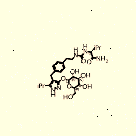 CC(C)c1[nH]nc(O[C@@H]2O[C@H](CO)[C@@H](O)[C@H](O)[C@H]2O)c1Cc1ccc(CCNC(=O)N[C@H](C(N)=O)C(C)C)cc1